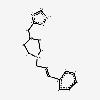 C(=Cc1ccccc1)CN1CCN(Cc2ncsn2)CC1